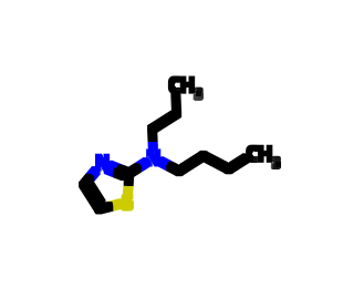 CCCCN(CCC)c1nccs1